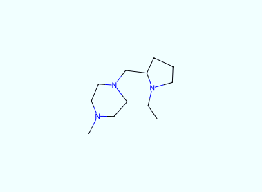 CCN1CCCC1CN1CCN(C)CC1